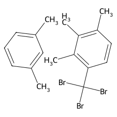 Cc1ccc(C(Br)(Br)Br)c(C)c1C.Cc1cccc(C)c1